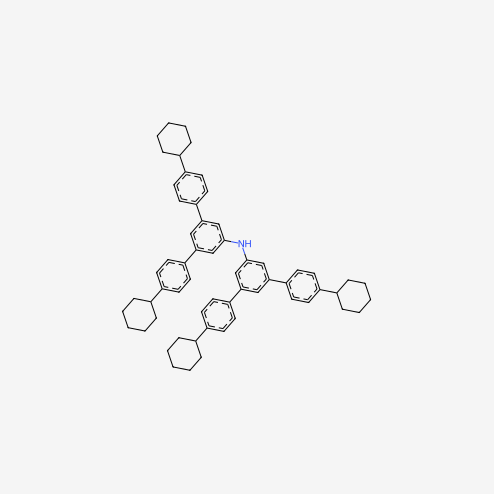 c1cc(C2CCCCC2)ccc1-c1cc(Nc2cc(-c3ccc(C4CCCCC4)cc3)cc(-c3ccc(C4CCCCC4)cc3)c2)cc(-c2ccc(C3CCCCC3)cc2)c1